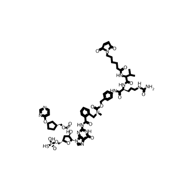 CC(C)C(NC(=O)CCCCCN1C(=O)C=CC1=O)C(=O)N[C@@H](CCCNC(N)=O)C(=O)Nc1ccc(COC(=O)N(C)Cc2ccccc2C(=O)Nc2nc3c(ncn3[C@@H]3O[C@H](COP(=O)(O)S)C[C@H]3O[PH](=O)OC[C@@H]3CC[C@H](Oc4ccncn4)C3)c(=O)[nH]2)cc1